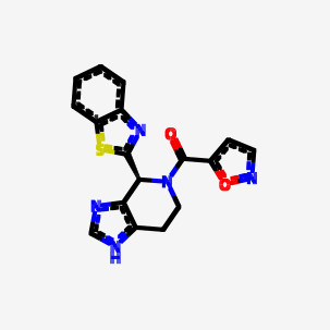 O=C(c1ccno1)N1CCc2[nH]cnc2[C@H]1c1nc2ccccc2s1